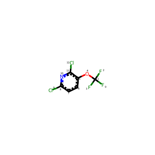 FC(F)(F)Oc1ccc(Cl)nc1Cl